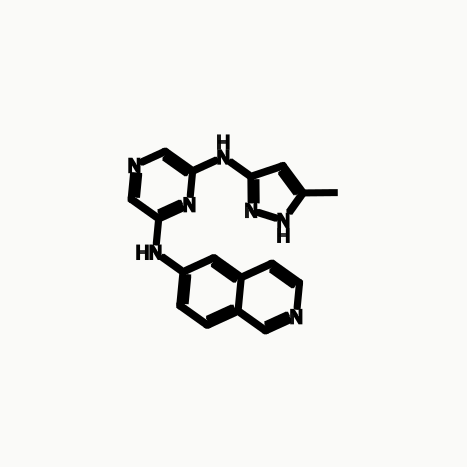 Cc1cc(Nc2cncc(Nc3ccc4cnccc4c3)n2)n[nH]1